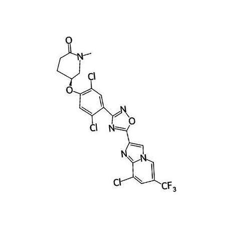 CN1C[C@@H](Oc2cc(Cl)c(-c3noc(-c4cn5cc(C(F)(F)F)cc(Cl)c5n4)n3)cc2Cl)CCC1=O